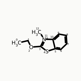 CCOc1sc2ccccc2[n+]1C